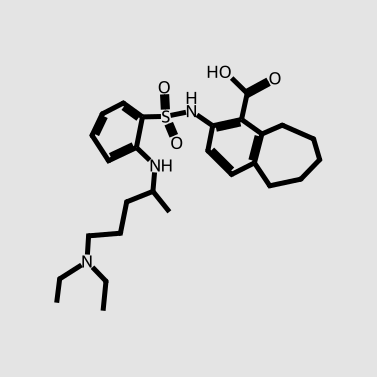 CCN(CC)CCCC(C)Nc1ccccc1S(=O)(=O)Nc1ccc2c(c1C(=O)O)CCCCC2